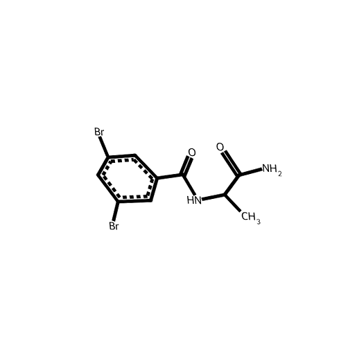 CC(NC(=O)c1cc(Br)cc(Br)c1)C(N)=O